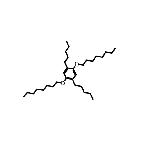 CCCCCCCCOc1cc(CCCCC)c(OCCCCCCCC)cc1CCCCC